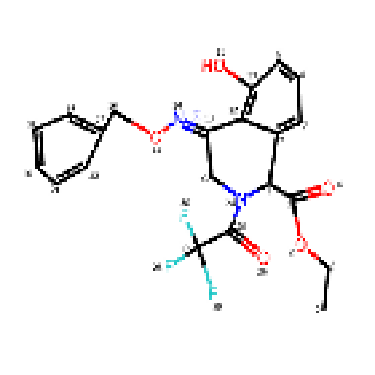 CCOC(=O)C1c2cccc(O)c2/C(=N/OCc2ccccc2)CN1C(=O)C(F)(F)F